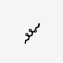 C=CCOC(=O)CC(=O)CCC